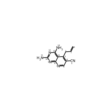 C=CCc1c(C#N)cnc2nc(N)nc(N)c12